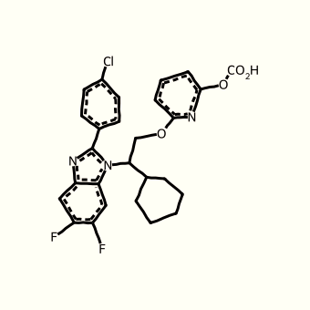 O=C(O)Oc1cccc(OCC(C2CCCCC2)n2c(-c3ccc(Cl)cc3)nc3cc(F)c(F)cc32)n1